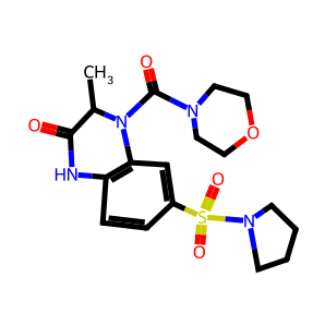 CC1C(=O)Nc2ccc(S(=O)(=O)N3CCCC3)cc2N1C(=O)N1CCOCC1